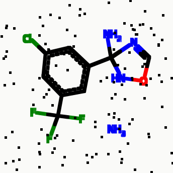 N.NC1(c2cc(Cl)cc(C(F)(F)F)c2)N=CON1